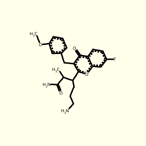 COc1cccc(Cc2c(C(CCCN)C(C)C(N)=O)oc3cc(F)ccc3c2=O)c1